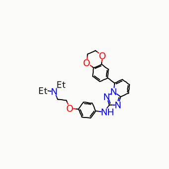 CCN(CC)CCOc1ccc(Nc2nc3cccc(-c4ccc5c(c4)OCCO5)n3n2)cc1